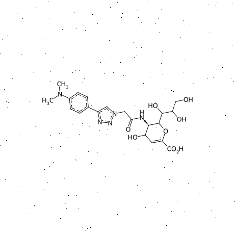 CN(C)c1ccc(-c2cn(CC(=O)N[C@@H]3C(O)C=C(C(=O)O)OC3C(O)C(O)CO)nn2)cc1